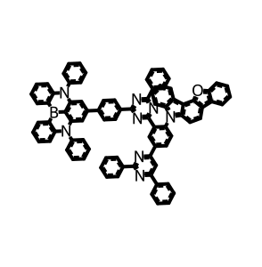 c1ccc(-c2cc(-c3ccc(-n4c5ccccc5c5c6oc7ccccc7c6ccc54)c(-c4nc(-c5ccccc5)nc(-c5ccc(-c6cc7c8c(c6)N(c6ccccc6)c6ccccc6B8c6ccccc6N7c6ccccc6)cc5)n4)c3)nc(-c3ccccc3)n2)cc1